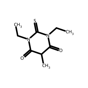 CCN1C(=O)C(C)C(=O)N(CC)C1=S